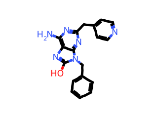 Nc1nc(Cc2ccncc2)nc2c1nc(O)n2Cc1ccccc1